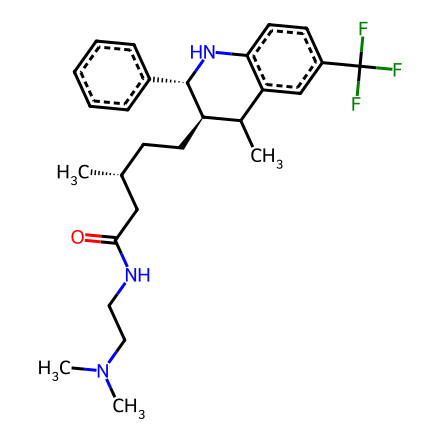 CC1c2cc(C(F)(F)F)ccc2N[C@@H](c2ccccc2)[C@@H]1CC[C@@H](C)CC(=O)NCCN(C)C